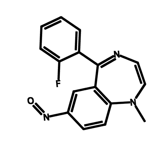 CN1C=CN=C(c2ccccc2F)c2cc(N=O)ccc21